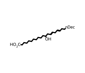 CCCCCCCCCCCCC=CCC=CCC(O)CCCCCCCCCCC(=O)O